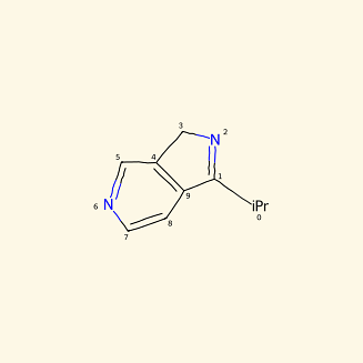 CC(C)C1=NCc2cnccc21